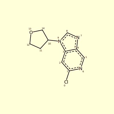 Clc1cc2c(cn1)ncn2C1CCOC1